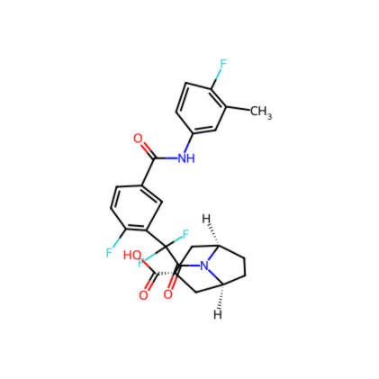 Cc1cc(NC(=O)c2ccc(F)c(C(F)(F)C(=O)N3[C@@H]4CC[C@H]3C[C@H](C(=O)O)C4)c2)ccc1F